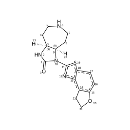 O=C1N[C@H]2CCNCC[C@H]2N1c1nc2c3c(ccc2s1)OCC3